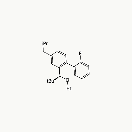 CCO[C@H](c1cc(CC(C)C)ccc1-c1ccccc1F)C(C)(C)C